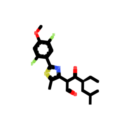 CC[C@@H](CC(C)C)C(=O)C(C=O)c1nc(-c2cc(F)c(OC)cc2F)sc1C